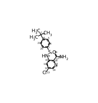 CC(C)(C)c1ccc(SNc2cc(Cl)cnc2C(N)=O)cc1